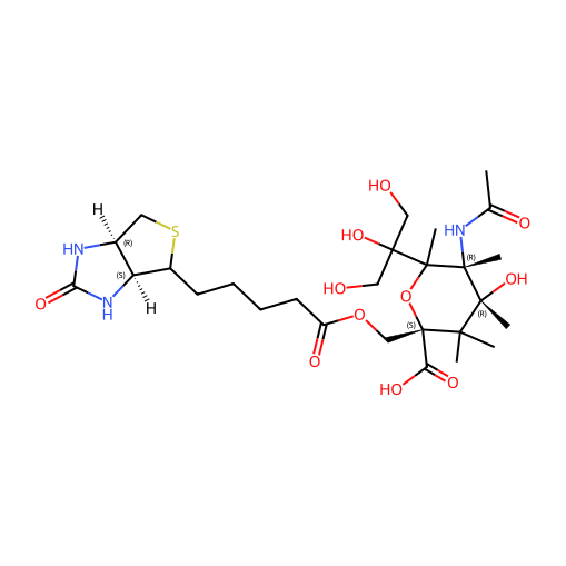 CC(=O)N[C@@]1(C)C(C)(C(O)(CO)CO)O[C@@](COC(=O)CCCCC2SC[C@@H]3NC(=O)N[C@H]23)(C(=O)O)C(C)(C)[C@@]1(C)O